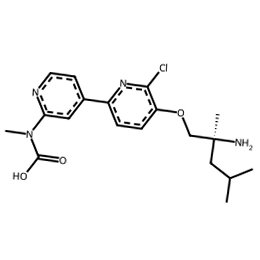 CC(C)C[C@](C)(N)COc1ccc(-c2ccnc(N(C)C(=O)O)c2)nc1Cl